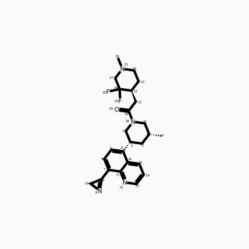 C[C@@H]1C[C@H](c2ccc(C3=NC3)c3ncccc23)CN(C(=O)C[C@@H]2CCN(C)CC2(F)F)C1